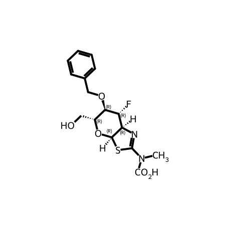 CN(C(=O)O)C1=N[C@@H]2[C@@H](F)[C@H](OCc3ccccc3)[C@@H](CO)O[C@@H]2S1